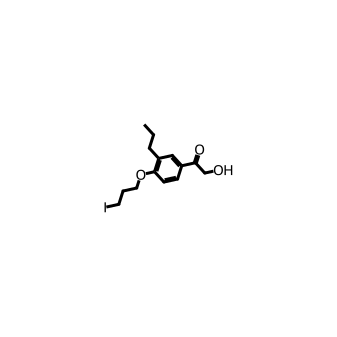 CCCc1cc(C(=O)CO)ccc1OCCCI